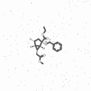 CCOC(=O)[C@]1(N[C@H](C)c2ccccc2)C[C@@H](F)[C@H]2[C@H](CC(=O)OC)[C@H]21